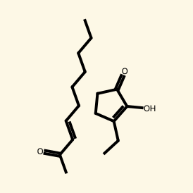 CCC1=C(O)C(=O)CC1.CCCCCCC=CC(C)=O